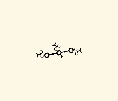 C=C(C)C(=O)Oc1ccc(C#Cc2cc(OC(=O)C(=C)C)c(C#Cc3ccc(OC(=O)C(=C)C)cc3)cc2F)cc1